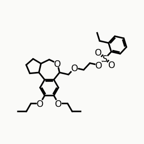 CCCOc1cc2c(cc1OCCC)C1CCCC1COC2COCCOS(=O)(=O)c1ccccc1CC